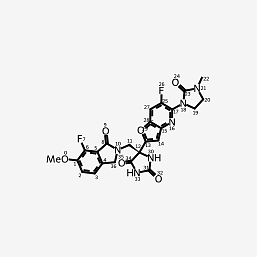 COc1ccc2c(c1F)C(=O)N(C[C@@]1(c3cc4nc(N5CCN(C)C5=O)c(F)cc4o3)NC(=O)NC1=O)C2